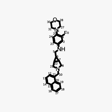 Fc1cc(NCC2C3CN(Cc4cccc5ccccc45)CC23)ccc1N1CCOCC1